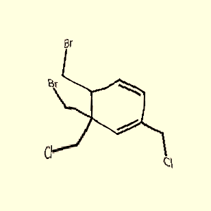 ClCC1=CC(CCl)(CBr)C(CBr)C=C1